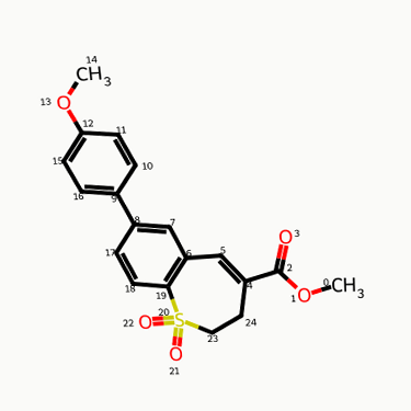 COC(=O)C1=Cc2cc(-c3ccc(OC)cc3)ccc2S(=O)(=O)CC1